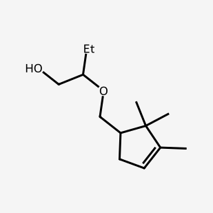 CCC(CO)OCC1CC=C(C)C1(C)C